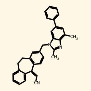 Cc1cc(-c2ccccc2)cc2c1nc(C)n2Cc1ccc2c(c1)CCc1ccccc1C2=CC#N